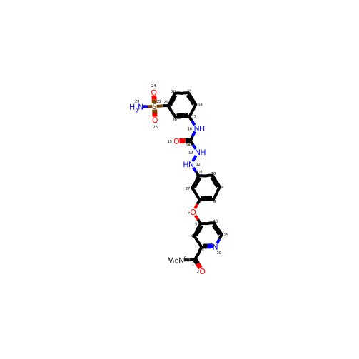 CNC(=O)c1cc(Oc2cccc(NNC(=O)Nc3cccc(S(N)(=O)=O)c3)c2)ccn1